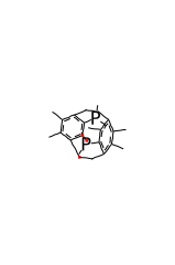 Cc1c(C)c2c(P(C)C)c(C)c1CCc1c(C)c(C)c(c(C)c1P(C)C)CC2